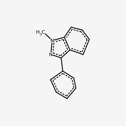 Cn1nc(-c2ccccc2)c2cc[c]cc21